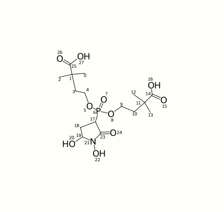 CC(C)(CCOP(=O)(OCCC(C)(C)C(=O)O)C1CC(O)N(O)C1=O)C(=O)O